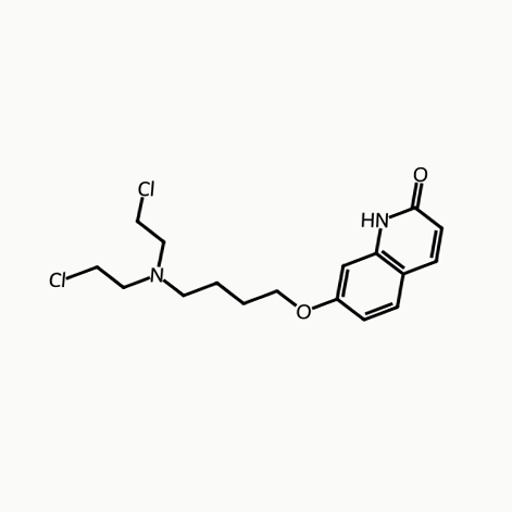 O=c1ccc2ccc(OCCCCN(CCCl)CCCl)cc2[nH]1